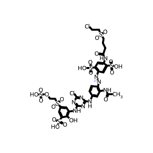 CC(=O)Nc1cc(Nc2nc(Cl)nc(Nc3cc(S(=O)(=O)CCOS(=O)(=O)O)cc(S(=O)(=O)O)c3O)n2)ccc1/N=N/c1cc(S(=O)(=O)O)c(NC(=O)CCCS(=O)(=O)CCCl)cc1S(=O)(=O)O